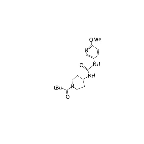 COc1ccc(NC(=O)NC2CCN(C(=O)C(C)(C)C)CC2)cn1